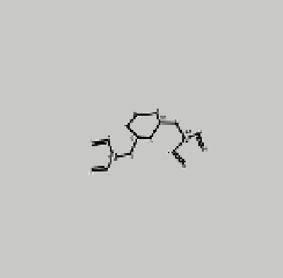 C=CN(C=C)CC1CCCC(CN(C=C)C=C)C1